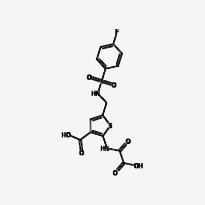 O=C(O)C(=O)Nc1sc(CNS(=O)(=O)c2ccc(F)cc2)cc1C(=O)O